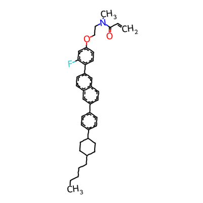 C=CC(=O)N(C)CCOc1ccc(-c2ccc3cc(-c4ccc(C5CCC(CCCCC)CC5)cc4)ccc3c2)c(F)c1